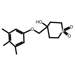 Cc1cc(OCC2(O)CCS(=O)(=O)CC2)cc(C)c1C